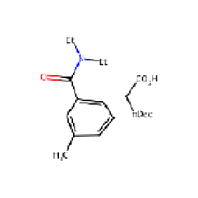 CCCCCCCCCCCC(=O)O.CCN(CC)C(=O)c1cccc(C)c1